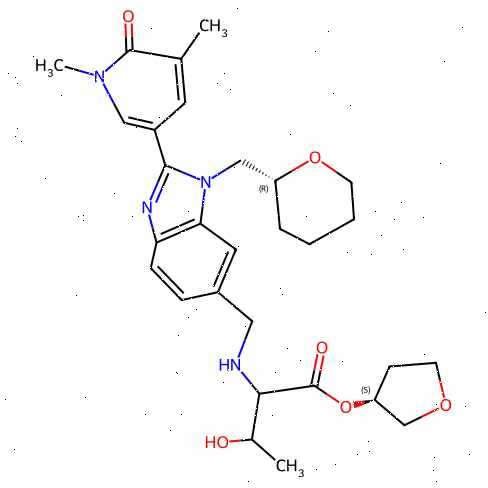 Cc1cc(-c2nc3ccc(CNC(C(=O)O[C@H]4CCOC4)C(C)O)cc3n2C[C@H]2CCCCO2)cn(C)c1=O